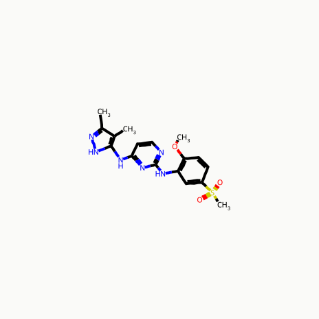 COc1ccc(S(C)(=O)=O)cc1Nc1nccc(Nc2[nH]nc(C)c2C)n1